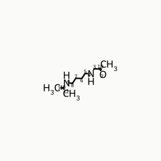 CC(=O)CNCCCCNC(C)C